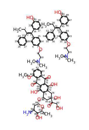 CCC(=C(c1ccc(OCCN(C)C)cc1)c1cccc(O)c1)c1ccccc1.CCC(=C(c1ccc(OCCN(C)C)cc1)c1cccc(O)c1)c1ccccc1.COc1cccc2c1C(=O)c1c(O)c3c(c(O)c1C2=O)C[C@@](O)(C(=O)CO)C[C@@H]3O[C@H]1C[C@H](N)[C@H](O)[C@H](C)O1